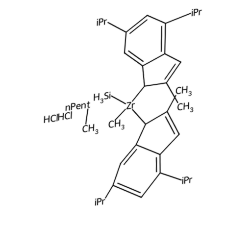 CC1=Cc2c(C(C)C)cc(C(C)C)cc2[CH]1[Zr]([CH3])([SiH3])[CH]1C(C)=Cc2c(C(C)C)cc(C(C)C)cc21.CCCCCC.Cl.Cl